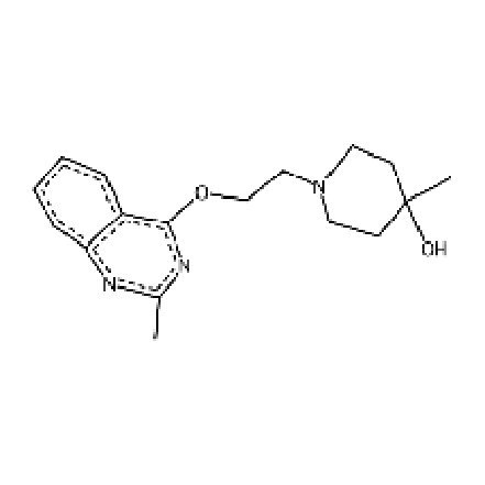 Cc1nc(OCCN2CCC(C)(O)CC2)c2ccccc2n1